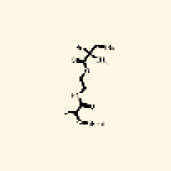 CCCCCOC(C)C(=O)NCCOC(=O)C(C)(CC(C)(C)C)C(C)(C)C